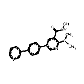 CN(C)c1ncc(-c2ccc(-c3cccnc3)cc2)cc1C(=O)NO